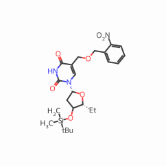 CC[C@H]1O[C@@H](n2cc(COCc3ccccc3[N+](=O)[O-])c(=O)[nH]c2=O)CC1O[Si](C)(C)C(C)(C)C